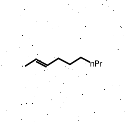 [CH2]/C=C/CCCCC[CH2]